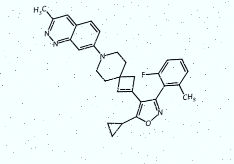 Cc1cc2ccc(N3CCC4(C=C(c5c(-c6c(C)cccc6F)noc5C5CC5)C4)CC3)cc2nn1